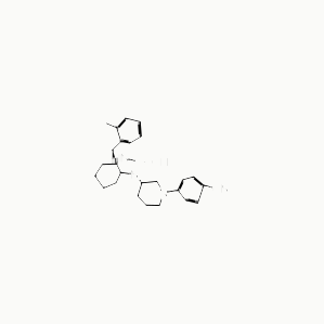 Cc1ccccc1CC1(NC(=O)O)CCCCC1NC1CCCN(c2ccc(C#N)cc2)C1